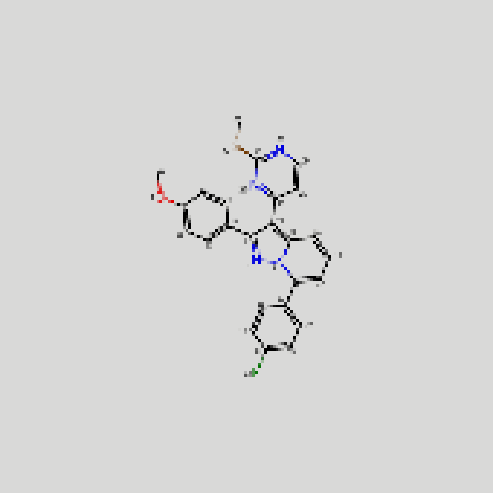 COc1ccc(-c2nn3c(-c4ccc(F)cc4)cccc3c2-c2ccnc(SC)n2)cc1